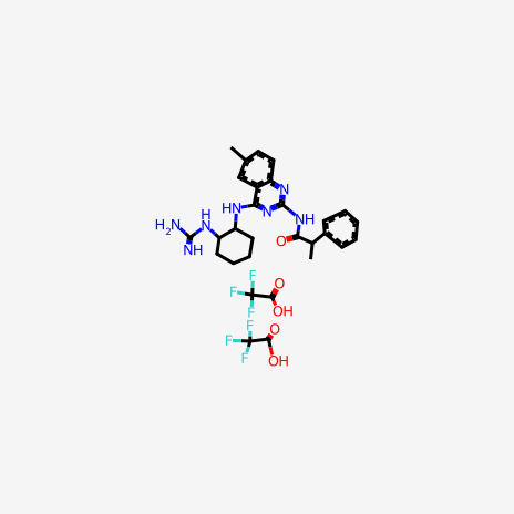 Cc1ccc2nc(NC(=O)C(C)c3ccccc3)nc(NC3CCCCC3NC(=N)N)c2c1.O=C(O)C(F)(F)F.O=C(O)C(F)(F)F